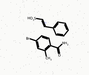 Cc1cc(Br)ccc1C(N)=O.O=S(=O)(O)/C=C/c1ccccc1